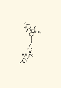 Cn1c(=O)n(C2CCC(=O)NC2=O)c2ccc(C#CCCC3CCN(C(=O)[C@@H](N)Cc4ccc(F)c(F)c4)CC3)cc21